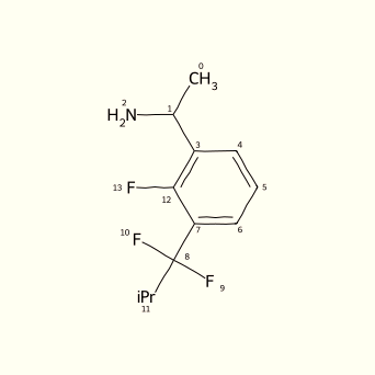 CC(N)c1cccc(C(F)(F)C(C)C)c1F